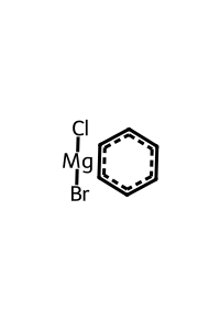 [Cl][Mg][Br].c1ccccc1